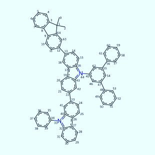 CC1(C)c2ccccc2-c2ccc(-c3ccc4c(c3)c3ccc(-c5ccc6c7ccccc7n(-c7ccccc7)c6c5)cc3n4-c3cc(-c4ccccc4)cc(-c4ccccc4)c3)cc21